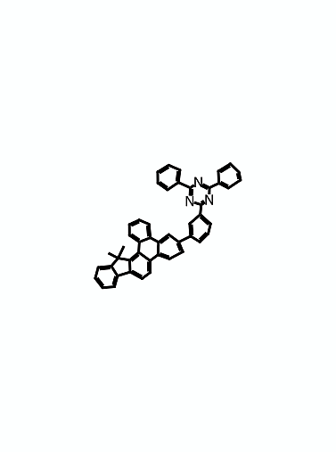 CC1(C)c2ccccc2-c2ccc3c4ccc(-c5cccc(-c6nc(-c7ccccc7)nc(-c7ccccc7)n6)c5)cc4c4ccccc4c3c21